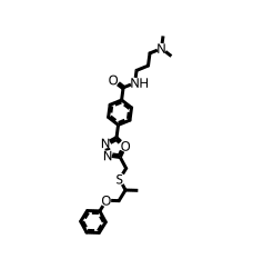 CC(COc1ccccc1)SCc1nnc(-c2ccc(C(=O)NCCCN(C)C)cc2)o1